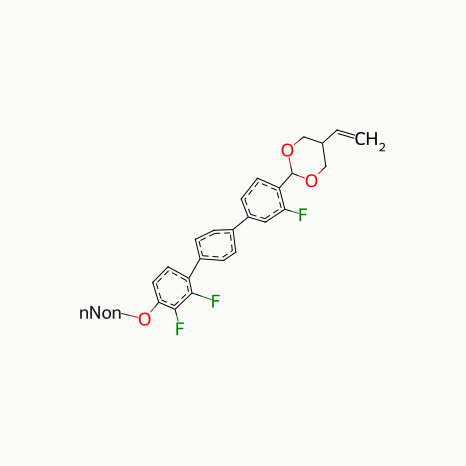 C=CC1COC(c2ccc(-c3ccc(-c4ccc(OCCCCCCCCC)c(F)c4F)cc3)cc2F)OC1